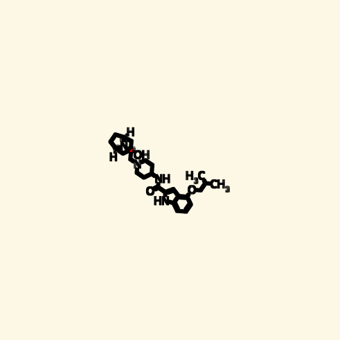 CC(C)COc1cccc2[nH]c(C(=O)NC3CCN(CCN4[C@@H]5CC[C@H]4C[C@@H](O)C5)CC3)cc12